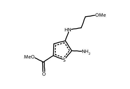 COCCNc1cc(C(=O)OC)sc1N